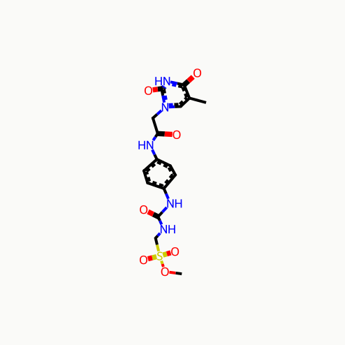 COS(=O)(=O)CNC(=O)Nc1ccc(NC(=O)Cn2cc(C)c(=O)[nH]c2=O)cc1